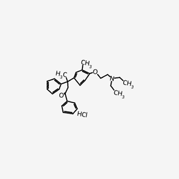 CCN(CC)CCOc1ccc(C(C)(CC(=O)c2ccccc2)c2ccccc2)cc1C.Cl